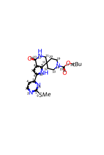 CSc1nccc(-c2cc3c([nH]2)C2(CCN(C(=O)OC(C)(C)C)CC2)CNC3=O)n1